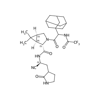 CC1(C)[C@@H]2[C@@H](C(=O)N[C@H](C#N)CC3CCNC3=O)N(C(=O)C(NC(=O)C(F)(F)F)C34CC5CC(CC(C5)C3)C4)C[C@@H]21